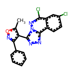 Cc1onc(-c2ccccc2)c1-c1nnc2c3ccc(Cl)cc3c(Cl)nn12